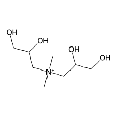 C[N+](C)(CC(O)CO)CC(O)CO